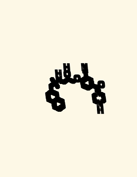 CC(C)(Cc1ccc2ccccc2c1)NCC(O)COc1ccc(C(=O)N2CCNCC2)cc1C#N